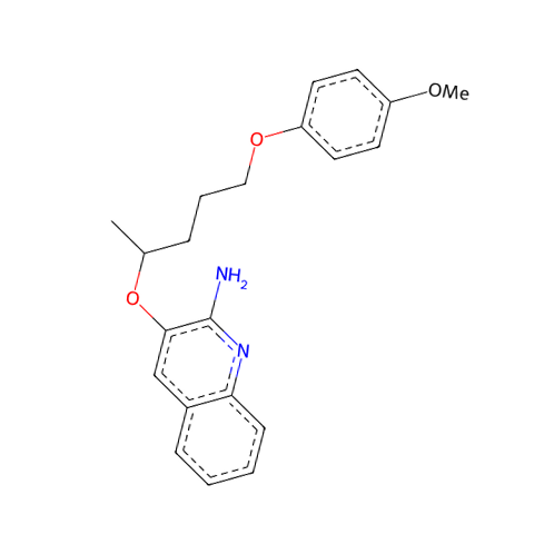 COc1ccc(OCCCC(C)Oc2cc3ccccc3nc2N)cc1